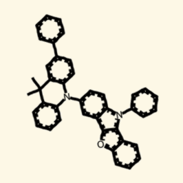 CC1(C)c2ccccc2N(c2ccc3c(c2)c2oc4ccccc4c2n3-c2ccccc2)c2ccc(-c3ccccc3)cc21